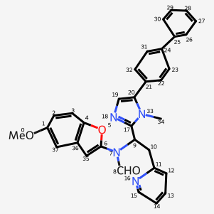 COc1ccc2oc(N(C=O)C(Cc3ccccn3)c3ncc(-c4ccc(-c5ccccc5)cc4)n3C)cc2c1